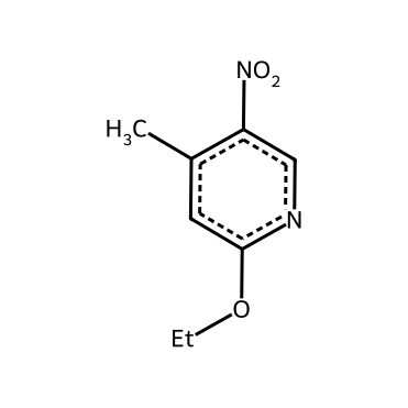 CCOc1cc(C)c([N+](=O)[O-])cn1